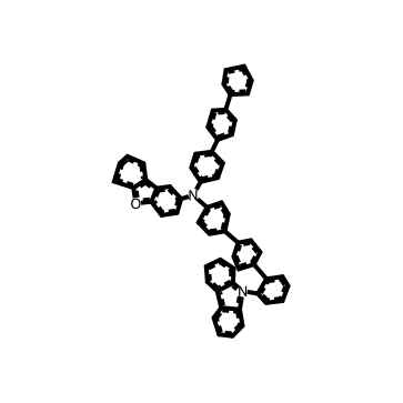 c1ccc(-c2ccc(-c3ccc(N(c4ccc(-c5ccc(-c6ccccc6-n6c7ccccc7c7ccccc76)cc5)cc4)c4ccc5oc6ccccc6c5c4)cc3)cc2)cc1